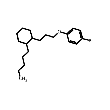 CCCCCC1CCCCC1CCCOc1ccc(Br)cc1